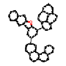 c1ccc2cc3c(cc2c1)oc1c(-c2ccc4ccc5cccc6ccc2c4c56)cc(-c2ccc4ccc5ccc6ccccc6c5c4c2)cc13